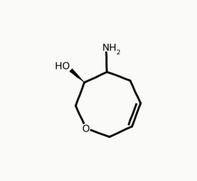 NC1C/C=C\COC[C@H]1O